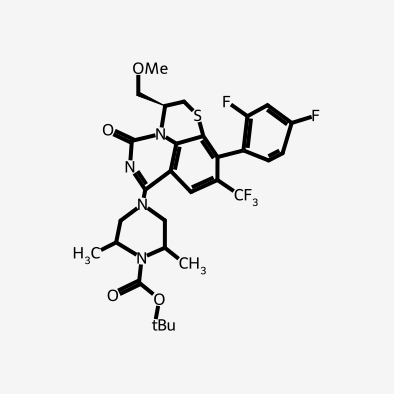 COC[C@H]1CSc2c(-c3ccc(F)cc3F)c(C(F)(F)F)cc3c(N4CC(C)N(C(=O)OC(C)(C)C)C(C)C4)nc(=O)n1c23